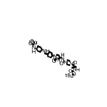 CC(C)(C)OC(=O)NC(C)(C)C(=O)N1CCN(C(=O)Nc2ccn(C3=CCC(CN[C@H]4CC[C@H](NC(=O)OC(C)(C)C)CC4)CC3)c(=O)n2)CC1